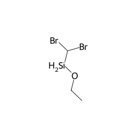 CCO[SiH2]C(Br)Br